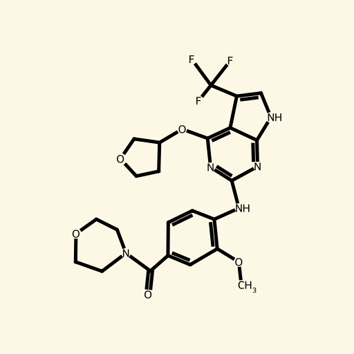 COc1cc(C(=O)N2CCOCC2)ccc1Nc1nc(OC2CCOC2)c2c(C(F)(F)F)c[nH]c2n1